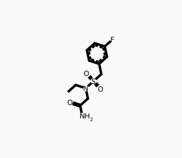 CCN(CC(N)=O)S(=O)(=O)Cc1cccc(F)c1